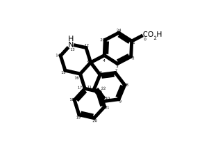 O=C(O)c1ccc(C2(c3ccccc3)CNCCC2c2ccccc2)cc1